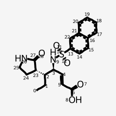 CCC([C@H](/C=C/C(=O)O)NS(=O)(=O)c1ccc2ccccc2c1)[C@@H]1CCNC1=O